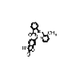 Cc1cccnc1C[C@H]1c2ccccc2C(=O)N1Cc1ccc2[nH]c(=O)oc2c1